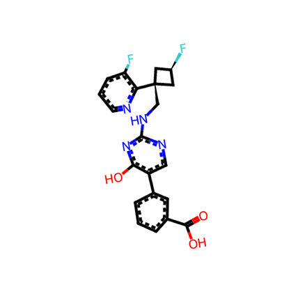 O=C(O)c1cccc(-c2cnc(NC[C@]3(c4ncccc4F)C[C@H](F)C3)nc2O)c1